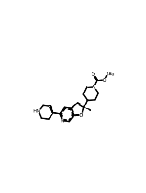 CC(C)(C)OC(=O)N1CCC([C@@]2(C)Cc3cc(C4=CCNCC4)ncc3O2)CC1